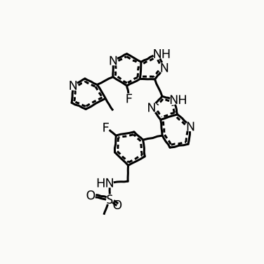 Cc1ccncc1-c1ncc2[nH]nc(-c3nc4c(-c5cc(F)cc(CNS(C)(=O)=O)c5)ccnc4[nH]3)c2c1F